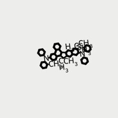 Cc1ccccc1N(c1ccccc1)c1ccc2c3c(c4ccccc4c2c1)-c1cc2ccc(N(c4ccccc4)c4ccccc4[Si](C)(C)C)cc2cc1C3(C)C